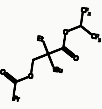 CCC(COC(=O)C(C)C)(C(=O)OC(C(F)(F)F)C(F)(F)F)C(C)(C)C